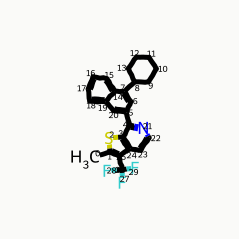 Cc1sc2c(-c3cc(C4CCCCC4)c4ccccc4c3)nccc2c1C(F)(F)F